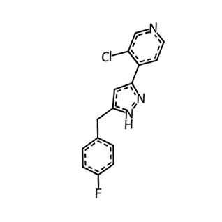 Fc1ccc(Cc2cc(-c3ccncc3Cl)n[nH]2)cc1